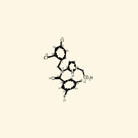 O=C(O)Cn1ccc(N(Cc2ccc(Cl)cc2Cl)C(=O)c2cc(F)cc(F)c2)n1